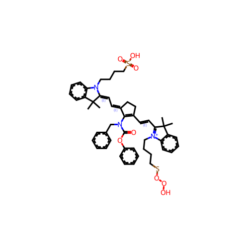 CC1(C)C(/C=C/C2=C(N(Cc3ccccc3)C(=O)Oc3ccccc3)C(=C/C=C3/N(CCCCS(=O)(=O)O)c4ccccc4C3(C)C)/CC2)=[N+](CCCCSOOO)c2ccccc21